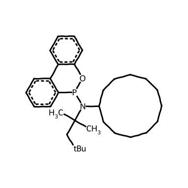 CC(C)(C)CC(C)(C)N(C1CCCCCCCCCCC1)P1Oc2ccccc2-c2ccccc21